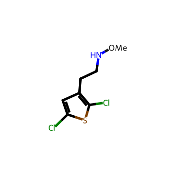 CONCCc1cc(Cl)sc1Cl